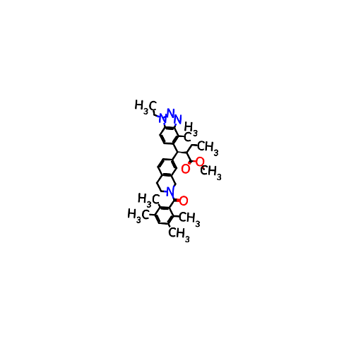 CCC(C(=O)OC)[C@@H](c1ccc2c(c1)CN(C(=O)c1c(C)c(C)cc(C)c1C)CC2)c1ccc2c(nnn2CC)c1C